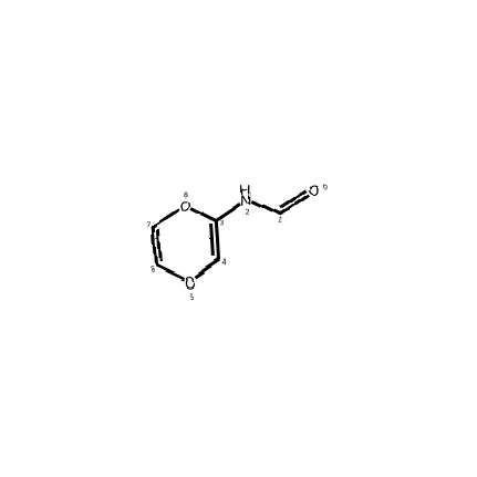 O=CNC1=COC=CO1